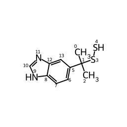 CC(C)(SS)c1ccc2[nH]cnc2c1